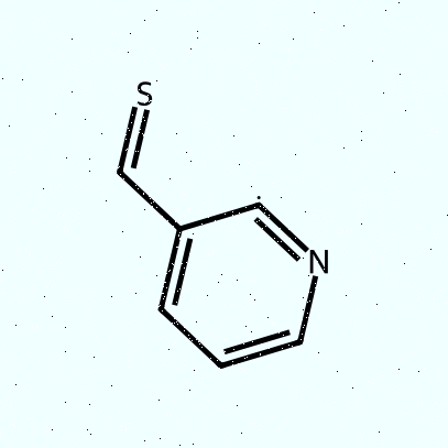 S=Cc1[c]nccc1